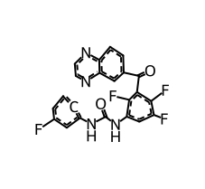 O=C(Nc1cccc(F)c1)Nc1cc(F)c(F)c(C(=O)c2ccc3nccnc3c2)c1F